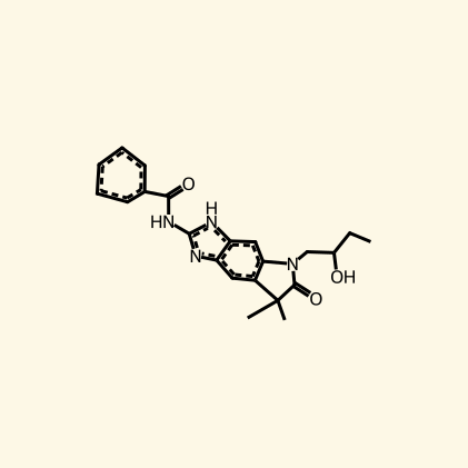 CCC(O)CN1C(=O)C(C)(C)c2cc3nc(NC(=O)c4ccccc4)[nH]c3cc21